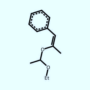 CCOC(C)OC(C)=Cc1ccccc1